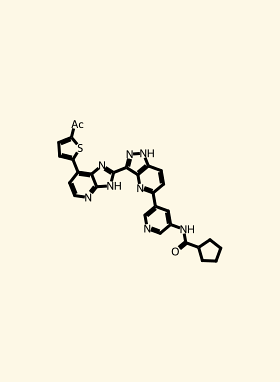 CC(=O)c1ccc(-c2ccnc3[nH]c(-c4n[nH]c5ccc(-c6cncc(NC(=O)C7CCCC7)c6)nc45)nc23)s1